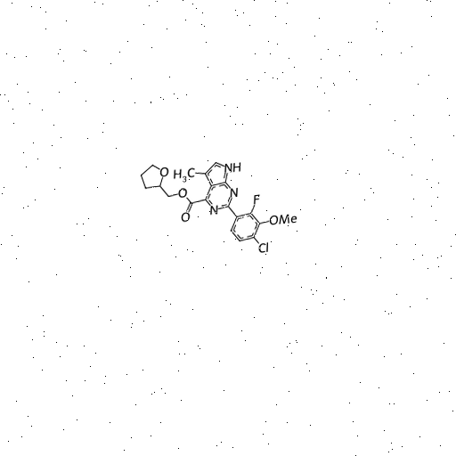 COc1c(Cl)ccc(-c2nc(C(=O)OCC3CCCO3)c3c(C)c[nH]c3n2)c1F